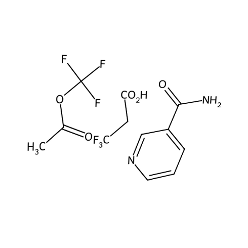 CC(=O)OC(F)(F)F.NC(=O)c1cccnc1.O=C(O)CC(F)(F)F